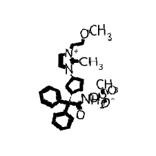 COCC[n+]1ccn([C@@H]2CC[C@H](C(C(N)=O)(c3ccccc3)c3ccccc3)C2)c1C.CS(=O)(=O)[O-]